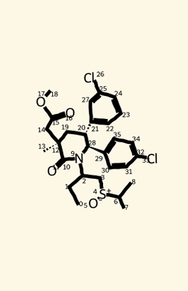 CCC(C[S@@+]([O-])C(C)C)N1C(=O)[C@@](C)(CC(=O)OC)C[C@H](c2cccc(Cl)c2)[C@H]1c1ccc(Cl)cc1